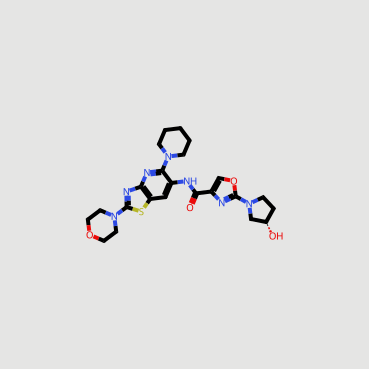 O=C(Nc1cc2sc(N3CCOCC3)nc2nc1N1CCCCC1)c1coc(N2CC[C@H](O)C2)n1